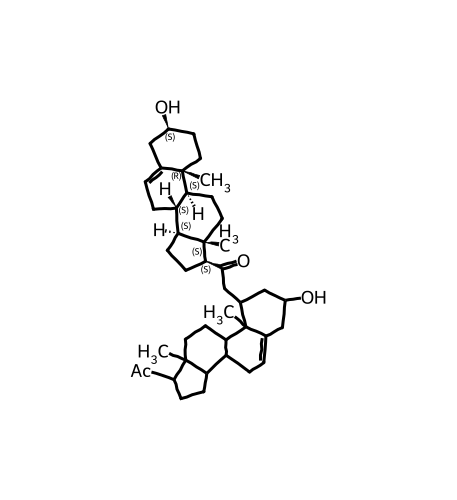 CC(=O)C1CCC2C3CC=C4CC(O)CC(CC(=O)[C@H]5CC[C@H]6[C@@H]7CC=C8C[C@@H](O)CC[C@]8(C)[C@H]7CC[C@]56C)C4(C)C3CCC12C